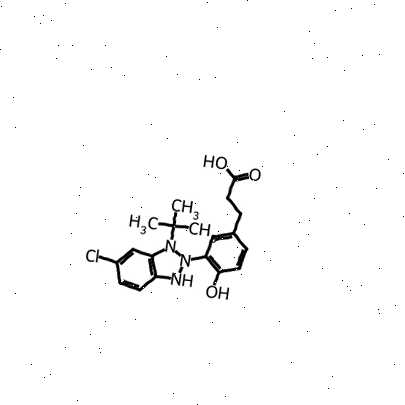 CC(C)(C)N1c2cc(Cl)ccc2NN1c1cc(CCC(=O)O)ccc1O